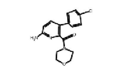 Nc1ccc(-c2ccc(Cl)cc2)c(C(=O)N2CCOCC2)n1